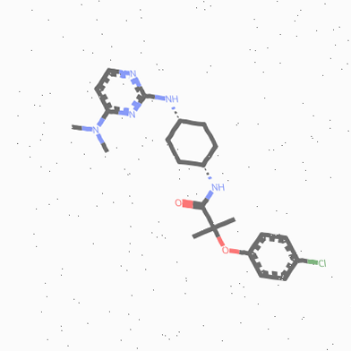 CN(C)c1ccnc(N[C@H]2CC[C@@H](NC(=O)C(C)(C)Oc3ccc(Cl)cc3)CC2)n1